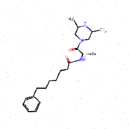 CCCC[C@H](NC(=O)CCCCCCc1ccccc1)C(=O)N1CC(C)NC(C)C1